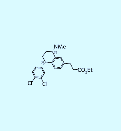 CCOC(=O)CCc1ccc2c(c1)[C@@H](NC)CC[C@H]2c1ccc(Cl)c(Cl)c1